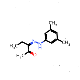 CCC(=NNc1cc(C)cc(C)c1)C(C)=O